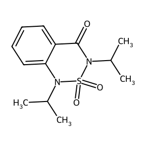 CC(C)N1C(=O)c2ccccc2N(C(C)C)S1(=O)=O